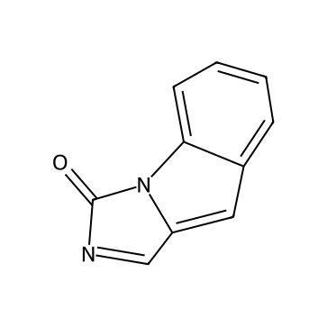 O=C1N=Cc2cc3ccccc3n21